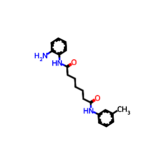 Cc1cccc(NC(=O)CCCCCC(=O)Nc2ccccc2N)c1